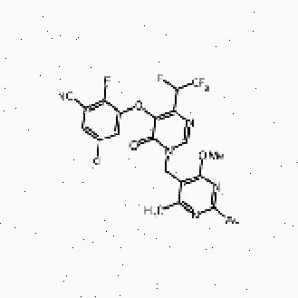 COc1nc(C(C)=O)nc(C)c1Cn1cnc(C(F)C(F)(F)F)c(Oc2cc(Cl)cc(C#N)c2F)c1=O